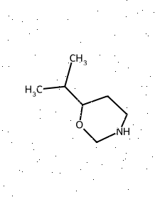 CC(C)C1CCNCO1